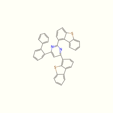 c1ccc(-c2ccccc2-c2cc(-c3cccc4c3sc3ccccc34)nc(-c3cccc4sc5ccccc5c34)n2)cc1